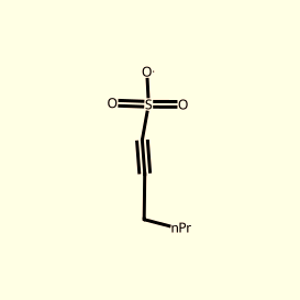 CCCCC#CS([O])(=O)=O